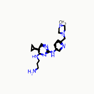 CN1CCN(Cc2ccc(Nc3ncc(C4CC4)c(NCCCN)n3)cn2)CC1